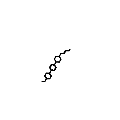 CCc1ccc(-c2ccc(C3CCC(C/C=C/CF)CC3)cc2)cc1